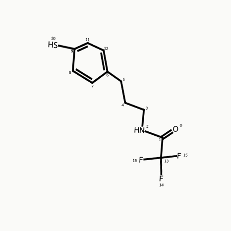 O=C(NCCCc1ccc(S)cc1)C(F)(F)F